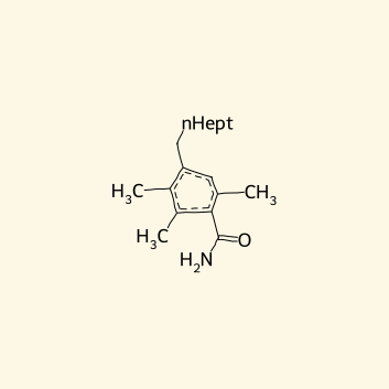 CCCCCCCCc1cc(C)c(C(N)=O)c(C)c1C